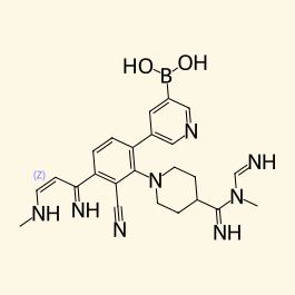 CN/C=C\C(=N)c1ccc(-c2cncc(B(O)O)c2)c(N2CCC(C(=N)N(C)C=N)CC2)c1C#N